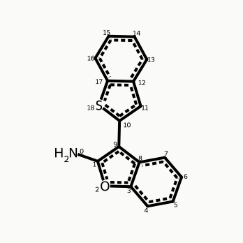 Nc1oc2ccccc2c1-c1cc2ccccc2s1